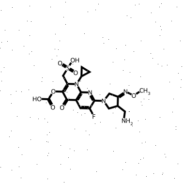 CON=C1CN(c2nc3c(cc2F)c(=O)c(OC(=O)O)c(CS(=O)(=O)O)n3C2CC2)CC1CN